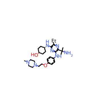 CCc1nc(C(C)(C)N)c(Nc2ccc(OCCN3CCN(C)CC3)cc2)nc1N[C@H]1CC[C@H](O)CC1